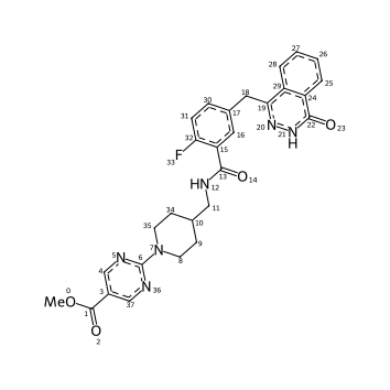 COC(=O)c1cnc(N2CCC(CNC(=O)c3cc(Cc4n[nH]c(=O)c5ccccc45)ccc3F)CC2)nc1